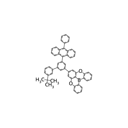 CC(C)(C)c1cccc(-c2cc(-c3cc4c5c(c3)Oc3ccccc3B5c3ccccc3O4)cc(-c3c4ccccc4c(-c4ccccc4)c4ccccc34)c2)c1